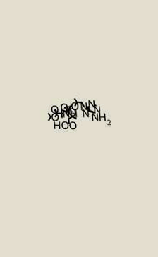 CC(C)OC(=O)C(C)(C)NP(=O)(COC(C)Cn1cnc2c(N)ncnc21)OC(C)CC(=O)O